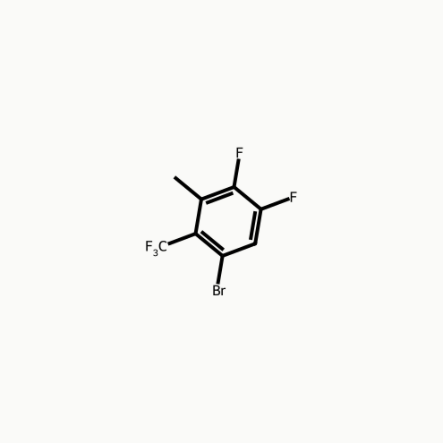 Cc1c(F)c(F)cc(Br)c1C(F)(F)F